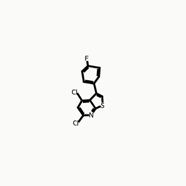 Fc1ccc(-c2csc3nc(Cl)cc(Cl)c23)cc1